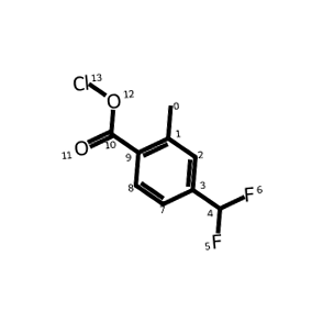 Cc1cc(C(F)F)ccc1C(=O)OCl